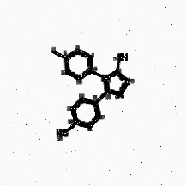 Cc1ccc(-n2c(S)nnc2-c2ccc(O)cc2)cc1